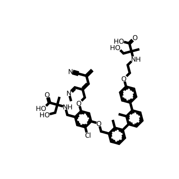 C=C(C#N)/C=C(\C=N/C)COc1cc(OCc2cccc(-c3cccc(-c4ccc(OCCNC(C)(CO)C(=O)O)cc4)c3C)c2C)c(Cl)cc1CNC(C)(CO)C(=O)O